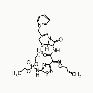 C=CCON=C(C(=O)NC1C(=O)N2C=C(C[n+]3ccccc3)CS[C@@H]12)c1nsc(NP(=O)(OCC)OCC)n1